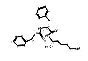 NCCCC[C@H]([C]=O)NC(=O)[C@@H](Cc1ccccc1)NC(=O)OCc1ccccc1